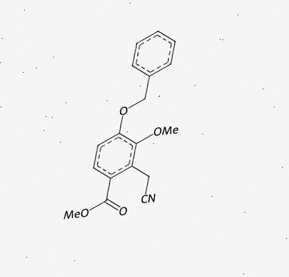 COC(=O)c1ccc(OCc2ccccc2)c(OC)c1CC#N